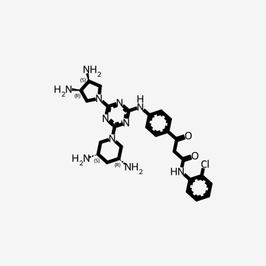 N[C@@H]1C[C@H](N)CN(c2nc(Nc3ccc(C(=O)CC(=O)Nc4ccccc4Cl)cc3)nc(N3C[C@@H](N)[C@@H](N)C3)n2)C1